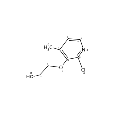 Cc1ccnc(Cl)c1OCCO